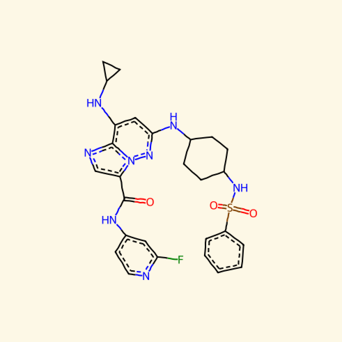 O=C(Nc1ccnc(F)c1)c1cnc2c(NC3CC3)cc(NC3CCC(NS(=O)(=O)c4ccccc4)CC3)nn12